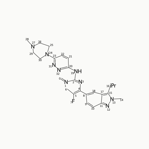 C=N/C(=N\C(=C(/C)F)c1ccc2nn(C)c(C(C)C)c2c1)Nc1ccc(N2CCN(C)CC2)nn1